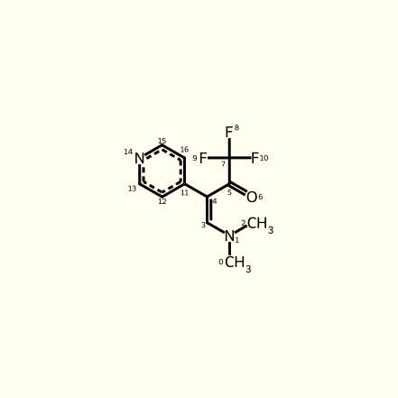 CN(C)C=C(C(=O)C(F)(F)F)c1ccncc1